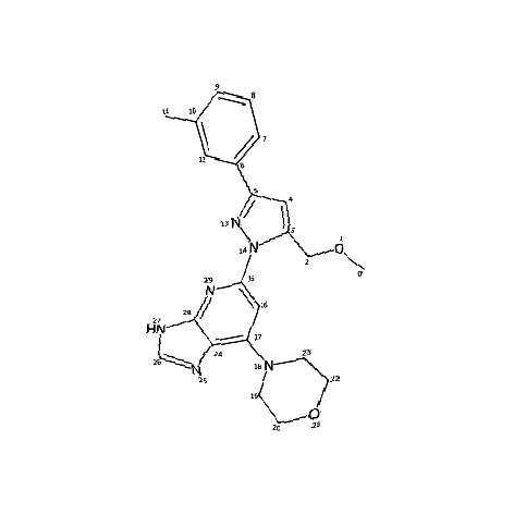 COCc1cc(-c2cccc(C)c2)nn1-c1cc(N2CCOCC2)c2nc[nH]c2n1